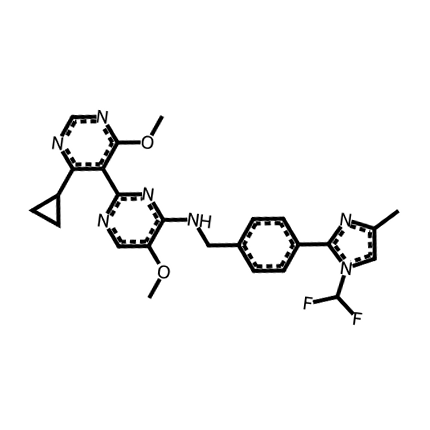 COc1cnc(-c2c(OC)ncnc2C2CC2)nc1NCc1ccc(-c2nc(C)cn2C(F)F)cc1